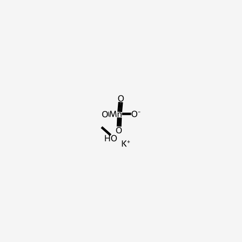 CO.[K+].[O]=[Mn](=[O])(=[O])[O-]